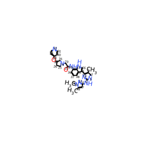 Cc1cnc(Nc2cc(C)n(C)n2)nc1-c1c[nH]c2c(NC(=O)CN3CC[C@@H](Oc4ccncc4)C3)cccc12